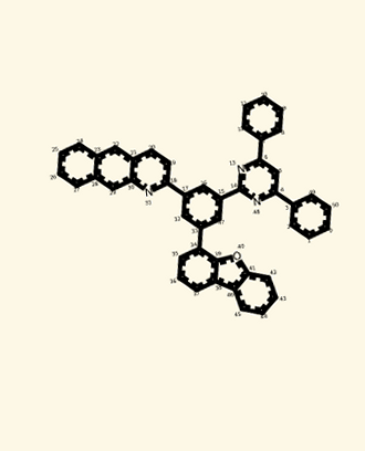 c1ccc(-c2cc(-c3ccccc3)nc(-c3cc(-c4ccc5cc6ccccc6cc5n4)cc(-c4cccc5c4oc4ccccc45)c3)n2)cc1